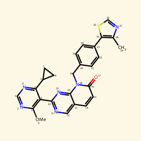 COc1ncnc(C2CC2)c1-c1ncc2ccc(=O)n(Cc3ccc(-c4scnc4C)cc3)c2n1